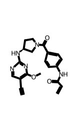 C#Cc1cnc(N[C@H]2CCN(C(=O)c3ccc(NC(=O)C=C)cc3)C2)nc1OC